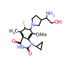 COC1=c2c(c(=O)[nH]c(=O)n2C2CC2)=C(C)C(F)C1N1CCC(C(N)CO)C1